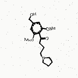 COc1cc(CO)cc(OC)c1C(=O)CCCN1CCCC1